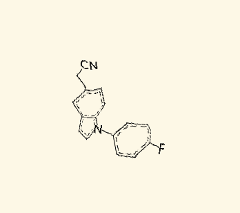 N#CCc1ccc2c(ccn2-c2ccc(F)cc2)c1